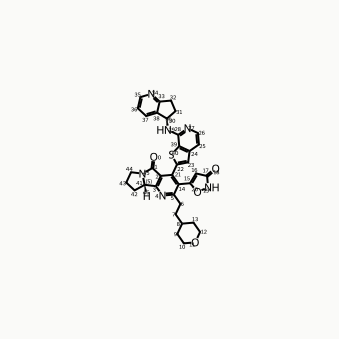 O=C1c2c(nc(CCC3CCOCC3)c(-c3cc(=O)[nH]o3)c2-c2cc3ccnc(N[C@@H]4CCc5ncccc54)c3s2)[C@@H]2CCCN12